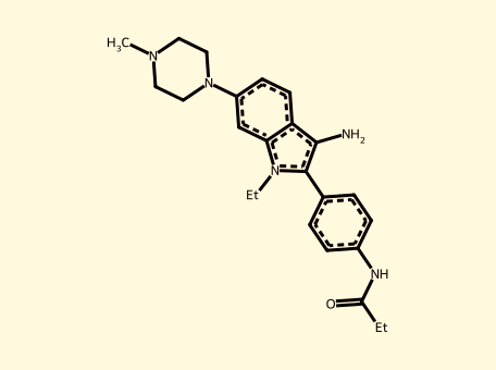 CCC(=O)Nc1ccc(-c2c(N)c3ccc(N4CCN(C)CC4)cc3n2CC)cc1